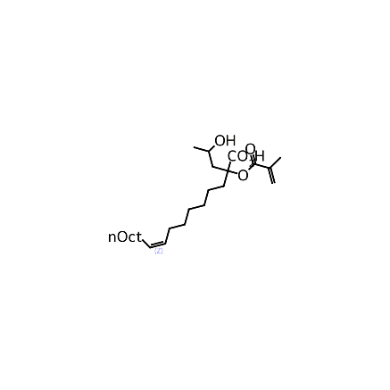 C=C(C)C(=O)OC(CCCCCC/C=C\CCCCCCCC)(CC(C)O)C(=O)O